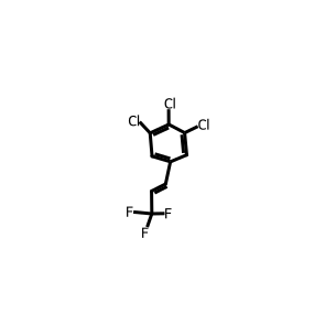 FC(F)(F)C=Cc1cc(Cl)c(Cl)c(Cl)c1